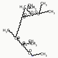 CCCCCC/C=C\COC(=O)CCCCCN(CCCCCC(=O)OC(CCCCCCC)CCCCCCCCCCCCCCC(CCCCCCC)OC(=O)CCCN(CCCC(=O)OC(CCCCCCC)CCCCCCC)C(=O)SCCCN(CC)CC)C(=O)SCCN(C)C